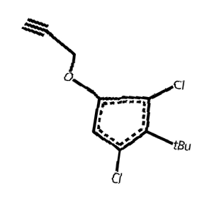 C#CCOc1cc(Cl)c(C(C)(C)C)c(Cl)c1